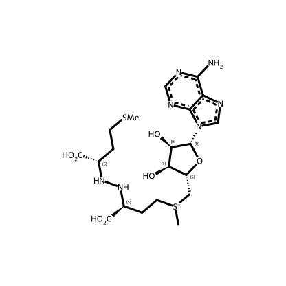 CSCC[C@H](NN[C@@H](CC[S+](C)C[C@H]1O[C@@H](n2cnc3c(N)ncnc32)[C@H](O)[C@@H]1O)C(=O)O)C(=O)O